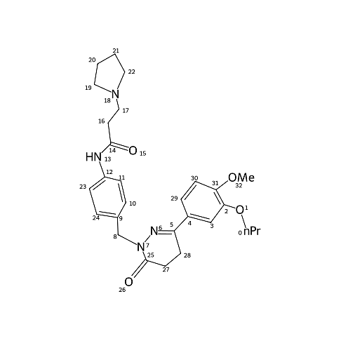 CCCOc1cc(C2=NN(Cc3ccc(NC(=O)CCN4CCCC4)cc3)C(=O)CC2)ccc1OC